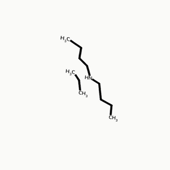 CCC.CCCCNCCCC